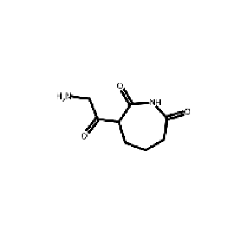 NCC(=O)C1CCCC(=O)NC1=O